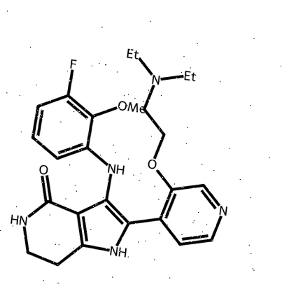 CCN(CC)CCOc1cnccc1-c1[nH]c2c(c1Nc1cccc(F)c1OC)C(=O)NCC2